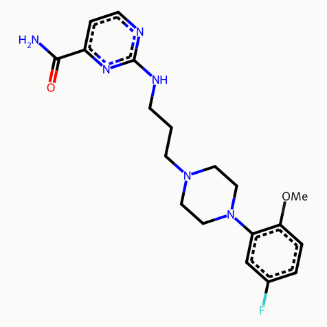 COc1ccc(F)cc1N1CCN(CCCNc2nccc(C(N)=O)n2)CC1